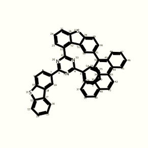 c1ccc(-c2nc(-c3ccc4sc5ccccc5c4c3)nc(-c3cccc4sc5ccc(-c6cc7c8ccccc8ccc7c7ccccc67)cc5c34)n2)cc1